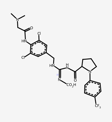 CN(C)CC(=O)Nc1c(Cl)cc(CN/C(=N/C(=O)O)NC(=O)C2CCCN2c2ccc(C(F)(F)F)cc2)cc1Cl